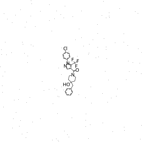 O=C(c1cnn(-c2ccc(Cl)cc2)c1C(F)(F)F)N1CCC(O)(Cc2ccccc2)CC1